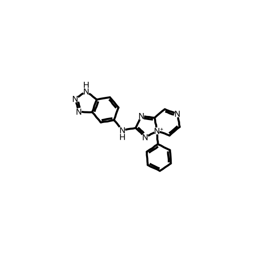 C1=C[N+]2(c3ccccc3)N=C(Nc3ccc4[nH]nnc4c3)N=C2C=N1